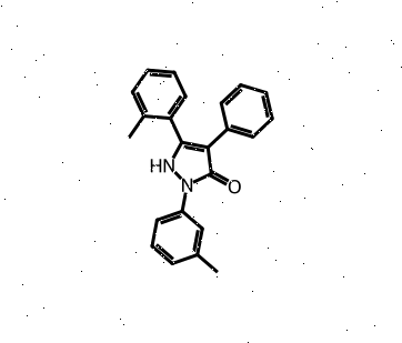 Cc1cccc(-n2[nH]c(-c3ccccc3C)c(-c3ccccc3)c2=O)c1